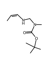 C/C=C\NCN(C)C(=O)OC(C)(C)C